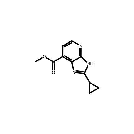 COC(=O)c1ccnc2[nH]c(C3CC3)nc12